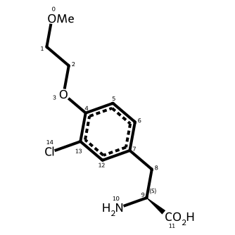 COCCOc1ccc(C[C@H](N)C(=O)O)cc1Cl